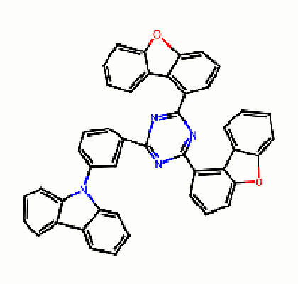 c1cc(-c2nc(-c3cccc4oc5ccccc5c34)nc(-c3cccc4oc5ccccc5c34)n2)cc(-n2c3ccccc3c3ccccc32)c1